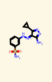 NC1=NN=C(C2CC2)/C1=N\Nc1cccc(S(N)(=O)=O)c1